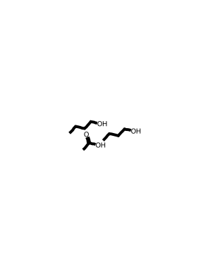 CC(=O)O.CCCCO.CCCCO